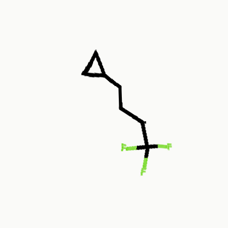 FC(F)(F)[CH]CCC1CC1